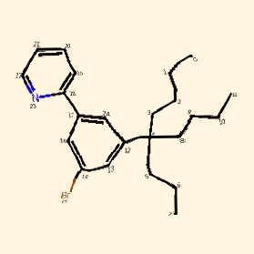 CCCCC(CCC)(CCCC)c1cc(Br)cc(-c2ccccn2)c1